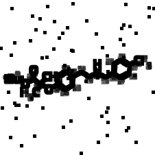 CC(C)(C)OC(=O)C(C)(C)Oc1ccc(CCNCc2ccc(C(F)(F)F)cc2)cc1